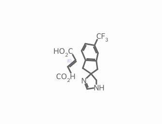 FC(F)(F)c1ccc2c(c1)CC1(CNC=N1)C2.O=C(O)/C=C/C(=O)O